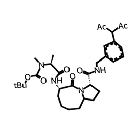 CC(=O)C(C(C)=O)c1cccc(CNC(=O)[C@@H]2CCC3CCCC[C@H](NC(=O)[C@H](C)N(C)C(=O)OC(C)(C)C)C(=O)N32)c1